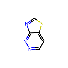 [c]1nc2nnccc2s1